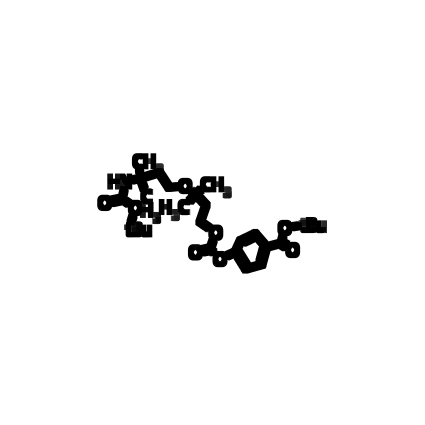 CC(C)(CCOC(C)(C)CCOC(=O)Oc1ccc(C(=O)OC(C)(C)C)cc1)NC(=O)OC(C)(C)C